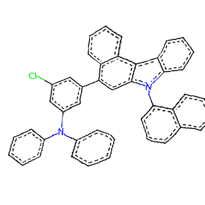 Clc1cc(-c2cc3c(c4ccccc24)c2ccccc2n3-c2cccc3ccccc23)cc(N(c2ccccc2)c2ccccc2)c1